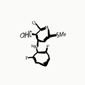 CSc1cc(Nc2c(F)cccc2F)c(C=O)c(Cl)n1